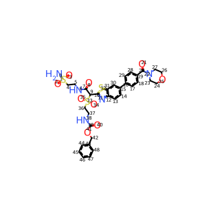 NS(=O)(=O)CCNC(=O)C(c1nc2ccc(-c3ccc(C(=O)N4CCOCC4)cc3)cc2s1)S(=O)(=O)CCNC(=O)OCc1ccccc1